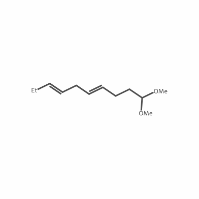 CCC=CCC=CCCC(OC)OC